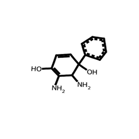 NC1=C(O)C=CC(O)(c2ccccc2)C1N